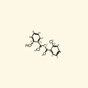 O=C(OC(=O)c1ccccc1Cl)c1ccccc1O